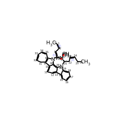 C/C=C\C=C(/CC)n1c2c(c3ccc4c5ccccc5n(C(C/C=C\CC)NC)c4c31)CC=CC=C2